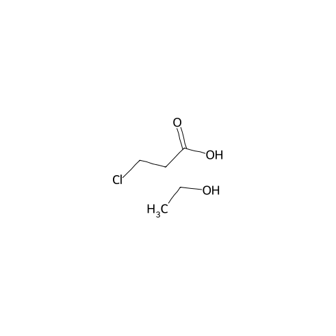 CCO.O=C(O)CCCl